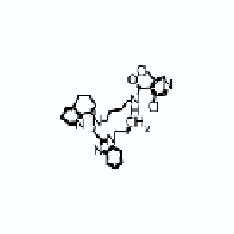 C=CCn1c(CN(CCCCNC(=O)c2c(Cl)cncc2Cl)[C@H]2CCCc3cccnc32)nc2ccccc21